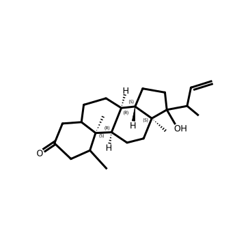 C=CC(C)C1(O)CC[C@H]2[C@@H]3CCC4CC(=O)CC(C)[C@]4(C)[C@@H]3CC[C@@]21C